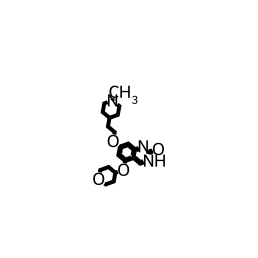 CN1CCC(CCOc2cc(OC3CCOCC3)c3c[nH]c(=O)nc3c2)CC1